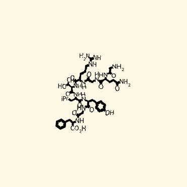 CC(C)CC(NC(=O)C(NC(=O)C(CCCNC(=N)N)NC(=O)CNC(=O)C(CCC(N)=O)NC(=O)CN)C(C)O)C(=O)NC(Cc1ccc(O)cc1)C(=O)NCC(=O)NC(Cc1ccccc1)C(=O)O